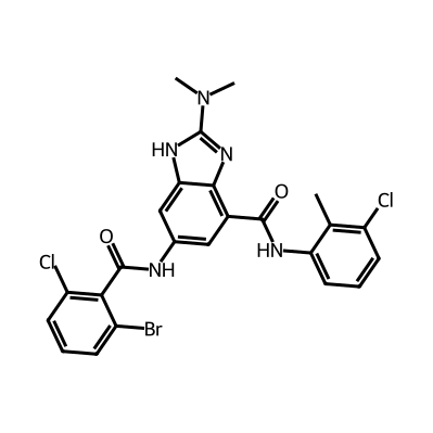 Cc1c(Cl)cccc1NC(=O)c1cc(NC(=O)c2c(Cl)cccc2Br)cc2[nH]c(N(C)C)nc12